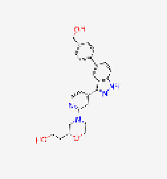 OCCC1CN(c2cc(-c3n[nH]c4ccc(-c5ccc(CO)cc5)cc34)ccn2)CCO1